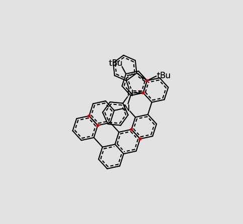 CC(C)(C)c1cc(N(c2ccccc2-c2cccc3cccc(-c4ccccc4)c23)c2ccccc2-c2cccc3c4ccccc4n(-c4ccccc4)c23)cc(C(C)(C)C)c1